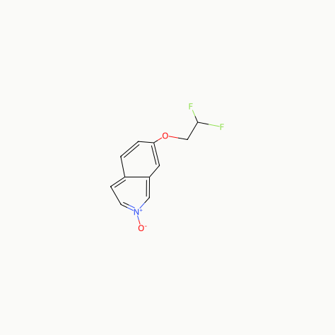 [O-][n+]1ccc2ccc(OCC(F)F)cc2c1